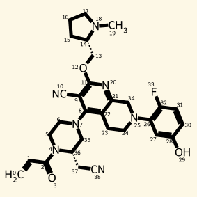 C=CC(=O)N1CCN(c2c(C#N)c(OC[C@@H]3CCCN3C)nc3c2CCN(c2cc(O)ccc2F)C3)C[C@@H]1CC#N